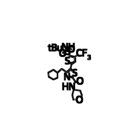 CC(C)(C)NS(=O)(=O)c1sc(-c2sc(C(=O)NC3CCOCC3)nc2CC2CCCCC2)cc1C(F)(F)F